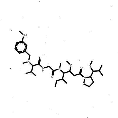 CCC(C)C(C(CC(=O)N1CCCC1C(OC)C(C)C)OC)N(C)C(=O)CNC(=O)C(C(C)C)N(C)Cc1cccc(NC)c1